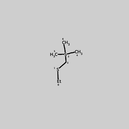 CCSCS(C)(C)C